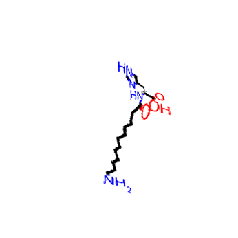 NCCCCCCCCCCCC(=O)N[C@@H](Cc1c[nH]cn1)C(=O)O